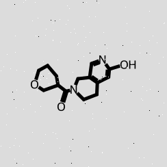 O=C(C1CCCOC1)N1CCc2cc(O)ncc2C1